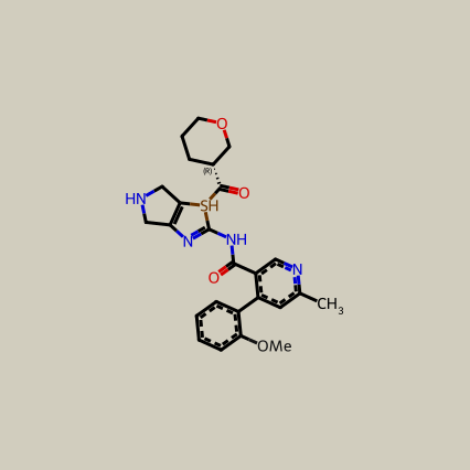 COc1ccccc1-c1cc(C)ncc1C(=O)NC1=NC2=C(CNC2)[SH]1C(=O)[C@@H]1CCCOC1